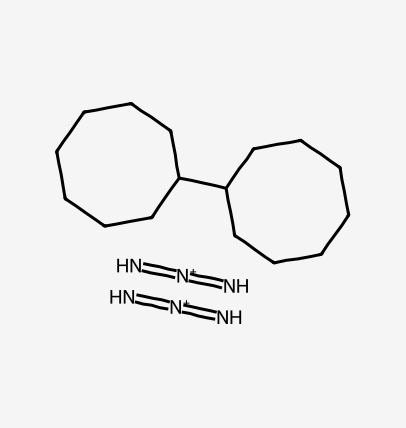 C1CCCC(C2CCCCCCC2)CCC1.N=[N+]=N.N=[N+]=N